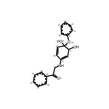 O=C(CNC1=CC(O)C(O)(Oc2ccccc2)C=C1)c1ccccc1